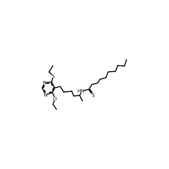 CCCCCCCCCC(=S)NC(C)CCCCc1c(OCC)ncnc1SCC